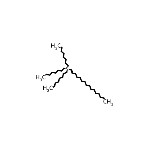 CCCCCCCCCCCCCC/C=C/[Si](CCCCCCCC)(CCCCCCCC)CCCCCCCC